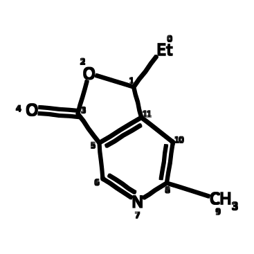 CCC1OC(=O)c2cnc(C)cc21